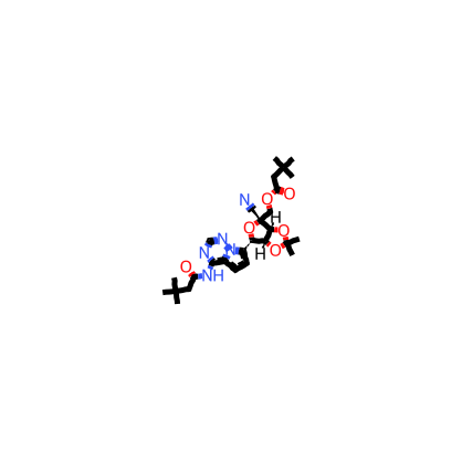 CC(C)(C)CC(=O)Nc1ncnn2c([C@@H]3O[C@](C#N)(COC(=O)CC(C)(C)C)[C@H]4OC(C)(C)O[C@@H]34)ccc12